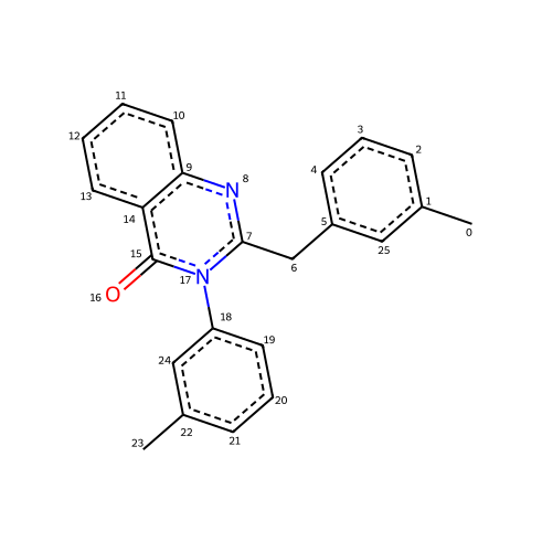 Cc1cccc(Cc2nc3ccccc3c(=O)n2-c2cccc(C)c2)c1